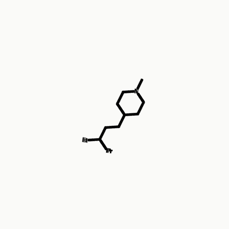 CCC(CCC1CCN(C)CC1)C(C)C